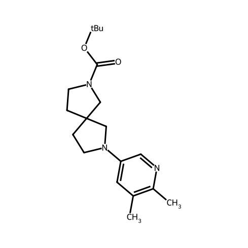 Cc1cc(N2CCC3(CCN(C(=O)OC(C)(C)C)C3)C2)cnc1C